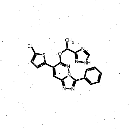 CC(Oc1nn2c(-c3ccccc3)nnc2cc1-c1ccc(Cl)s1)c1nc[nH]n1